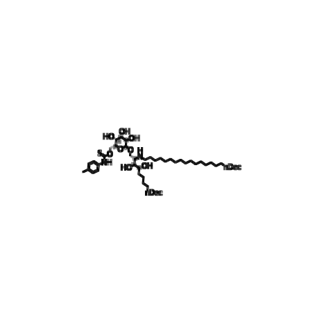 CCCCCCCCCCCCCCCCCCCCCCCCCCN[C@@H](CO[C@H]1O[C@H](COC(=S)Nc2ccc(C)cc2)[C@H](O)[C@H](O)[C@H]1O)[C@H](O)[C@H](O)CCCCCCCCCCCCCC